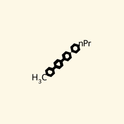 CCC[C@H]1CC[C@H](C2CC=C(c3ccc(C4=CCC(C)CC4)cc3)CC2)CC1